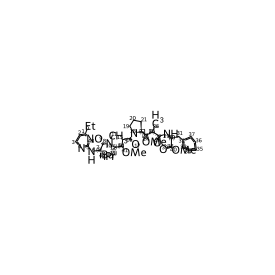 CCc1ccnc(N[C@H](C(=O)N(C)[C@@H]([C@@H](C)CC)[C@@H](CC(=O)N2CCC[C@H]2[C@H](OC)[C@@H](C)C(=O)N[C@@H](Cc2ccccc2)C(=O)OC)OC)C(C)C)n1